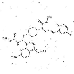 COc1ccc2c(CO)ccc(C(CC3CCC(N(C/C=C/c4cc(F)ccc4F)C(=O)OC(C)(C)C)CC3)NC(=O)OC(C)(C)C)c2n1